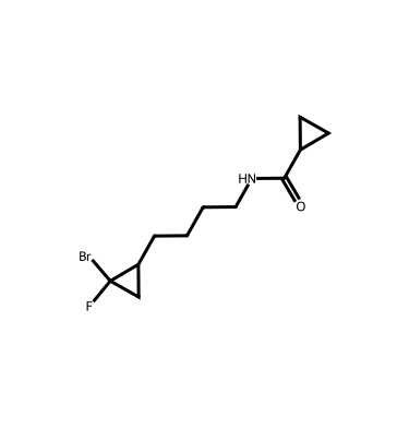 O=C(NCCCCC1CC1(F)Br)C1CC1